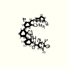 COc1cc(-c2cccc(-c3cccc(NC(=O)c4cn(C)c(=O)n(C)c4=O)c3F)c2Cl)cc(F)c1CNCC1CCC(=O)N1